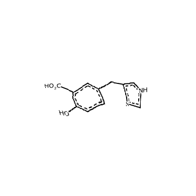 O=C(O)c1cc(Cc2c[nH]cn2)ccc1O